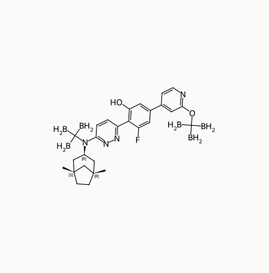 BC(B)(B)Oc1cc(-c2cc(O)c(-c3ccc(N([C@H]4C[C@]5(C)CC[C@](C)(C4)C5)C(B)(B)B)nn3)c(F)c2)ccn1